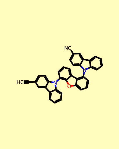 C#Cc1ccc2c(c1)c1ccccc1n2-c1cccc2c1oc1cccc(-n3c4ccccc4c4cc(C#N)ccc43)c12